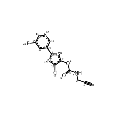 C#CCNC(=O)Oc1sc(-c2cncc(F)c2)nc1Cl